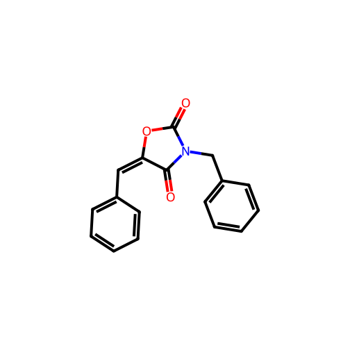 O=C1OC(=Cc2ccccc2)C(=O)N1Cc1ccccc1